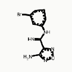 N=C(Nc1cccc(Br)c1)c1nonc1N